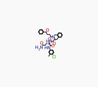 Cc1cc(NC(=O)[C@H](CCC(N)=O)NC(=O)[C@@H]2Cc3ccccc3CN2C(=O)CCC(=O)c2ccccc2)ccc1Cl